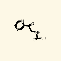 O=C(O)NCC(=O)c1cnccn1